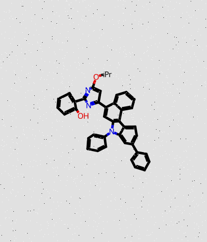 CC(C)Oc1cc(-c2cc3c(c4ccccc24)c2ccc(-c4ccccc4)cc2n3-c2ccccc2)nc(-c2ccccc2O)n1